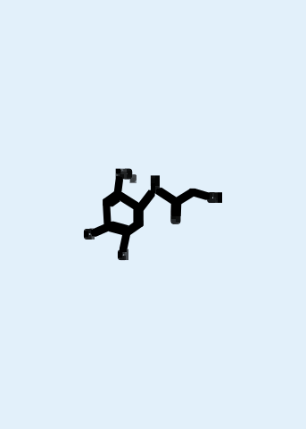 N#CCC(=O)Nc1cc(Cl)c(Cl)cc1[N+](=O)[O-]